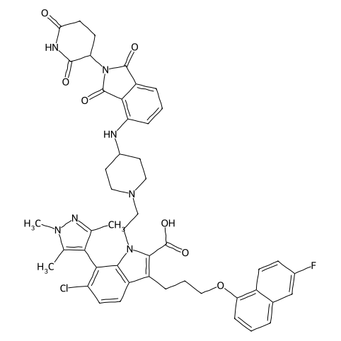 Cc1nn(C)c(C)c1-c1c(Cl)ccc2c(CCCOc3cccc4cc(F)ccc34)c(C(=O)O)n(CCN3CCC(Nc4cccc5c4C(=O)N(C4CCC(=O)NC4=O)C5=O)CC3)c12